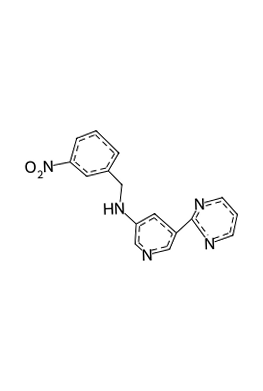 O=[N+]([O-])c1cccc(CNc2cncc(-c3ncccn3)c2)c1